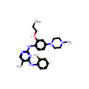 Bc1cnc(Nc2ccc(N3CCN(C)CC3)cc2OCCOC)nc1Nc1ccccc1S